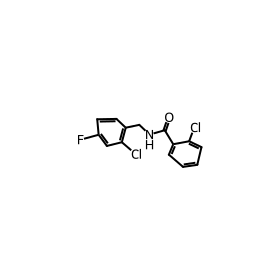 O=C(NCc1ccc(F)cc1Cl)c1ccccc1Cl